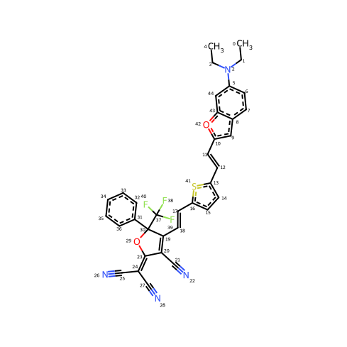 CCN(CC)c1ccc2cc(/C=C/c3ccc(/C=C/C4=C(C#N)C(=C(C#N)C#N)OC4(c4ccccc4)C(F)(F)F)s3)oc2c1